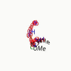 COc1cc2cc(c1Cl)N(C)C(=O)C[C@H](OC(=O)[C@H](C)OCCOCCSC1CC(=O)N(CCC(=O)NCCOCCOCCOCCC(=O)ON3C(=O)CCC3=O)C1=O)[C@@]1(C)CC(C)(O1)C1C[C@@](O)(NC(=O)O1)[C@H](OC)/C=C/C=C(\C)C2